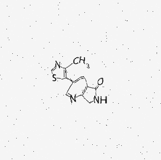 Cc1ncsc1-c1cnc2c(c1)C(=O)NC2